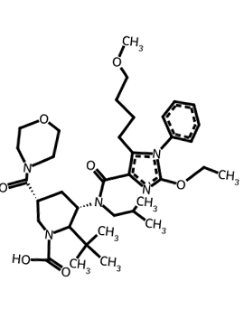 CCOc1nc(C(=O)N(CC(C)C)[C@H]2C[C@@H](C(=O)N3CCOCC3)CN(C(=O)O)C2C(C)(C)C)c(CCCCOC)n1-c1ccccc1